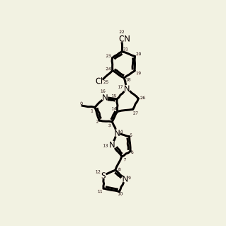 Cc1cc(-n2ccc(-c3nccs3)n2)c2c(n1)N(c1ccc(C#N)cc1Cl)CC2